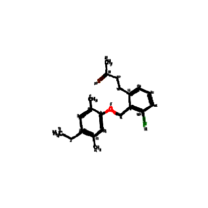 CCc1cc(C)c(OCc2c(F)cccc2CCC(C)=S)cc1C